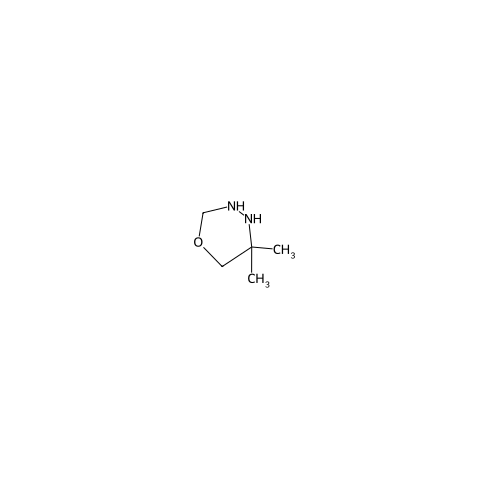 CC1(C)COCNN1